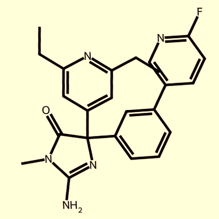 CCc1cc(C2(c3cccc(-c4ccc(F)nc4)c3)N=C(N)N(C)C2=O)cc(CC)n1